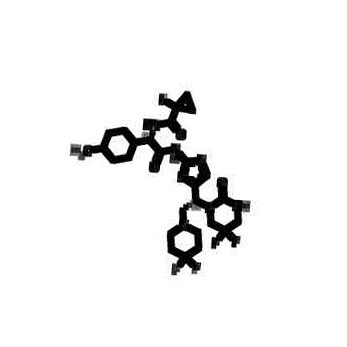 CC1CCC([C@H](NC(=O)C2(F)CC2)C(=O)Nc2ncc([C@@H](CN3CCC(F)(F)CC3)N3CC(F)(F)CNC3=O)s2)CC1